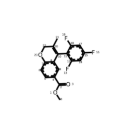 COC(=O)c1ccc2c(c1)C(c1c(F)cc(F)cc1F)=C(C)CO2